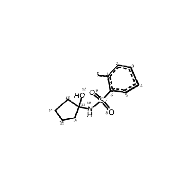 Cc1ccccc1S(=O)(=O)NC1(O)CCCC1